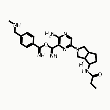 CCC(=O)NC1CCC2CN(c3cnc(N)c(C(=N)OC(=N)c4ccc(CNC)cc4)n3)C[C@@H]21